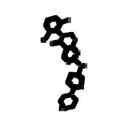 O=C1c2cnc(Nc3ccc(N4CCNCC4)nc3)nc2OCN1c1c(Cl)cccc1Cl